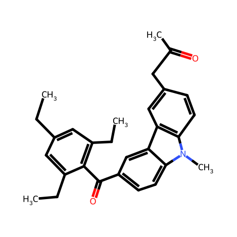 CCc1cc(CC)c(C(=O)c2ccc3c(c2)c2cc(CC(C)=O)ccc2n3C)c(CC)c1